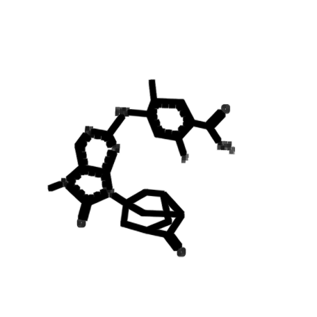 Cc1cc(C(N)=O)c(F)cc1Nc1ncc2c(n1)n(C13CC4CC(C1)C(C3)C4=O)c(=O)n2C